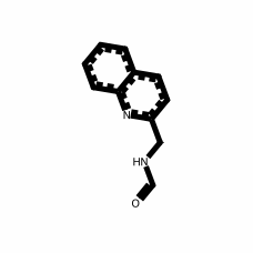 O=CN[CH]c1ccc2ccccc2n1